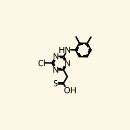 Cc1cccc(Nc2nc(Cl)nc(CC(O)=S)n2)c1C